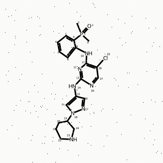 CP(C)(=O)c1ccccc1Nc1nc(Nc2cnn(C3CCCNC3)c2)ncc1Cl